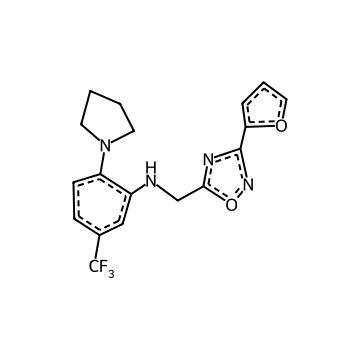 FC(F)(F)c1ccc(N2CCCC2)c(NCc2nc(-c3ccco3)no2)c1